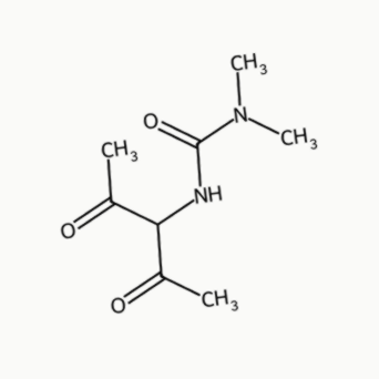 CC(=O)C(NC(=O)N(C)C)C(C)=O